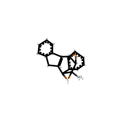 O=[N+]([O-])C12SC1(c1ccccc1)C1=C(c3ccccc3C1)C1SC12